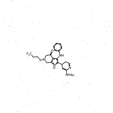 CC(=O)NC1=CC(c2[nH]c3c(c2Nc2ccccc2)C(=O)CN(SCCC(F)(F)F)C3)CC=N1